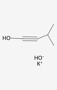 CC(C)C#CO.[K+].[OH-]